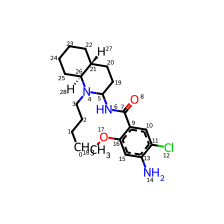 CCCCN1C(NC(=O)c2cc(Cl)c(N)cc2OC)CC[C@H]2CCCC[C@@H]21